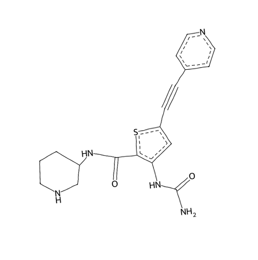 NC(=O)Nc1cc(C#Cc2ccncc2)sc1C(=O)NC1CCCNC1